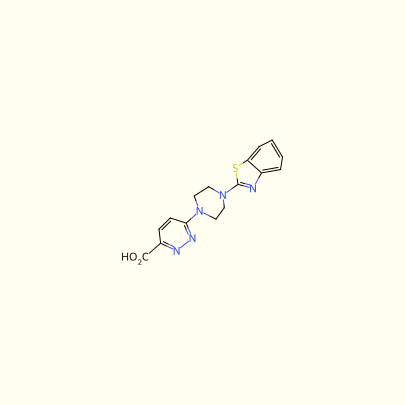 O=C(O)c1ccc(N2CCN(c3nc4ccccc4s3)CC2)nn1